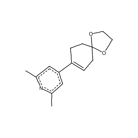 Cc1cc(C2=CCC3(CC2)OCCO3)cc(C)n1